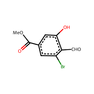 COC(=O)c1cc(O)c(C=O)c(Br)c1